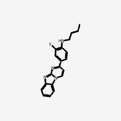 CCCCNc1ccc(-c2ccn3c(n2)nc2ccccc23)cc1F